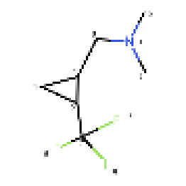 CN(C)CC1CC1C(F)(F)F